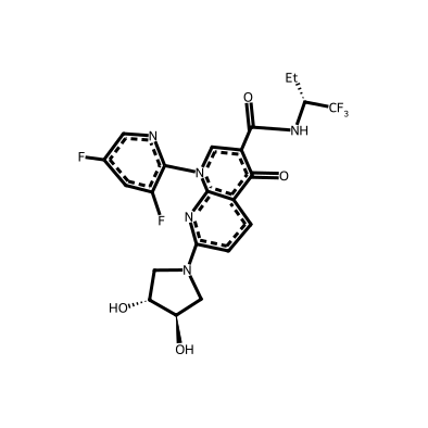 CC[C@@H](NC(=O)c1cn(-c2ncc(F)cc2F)c2nc(N3C[C@@H](O)[C@H](O)C3)ccc2c1=O)C(F)(F)F